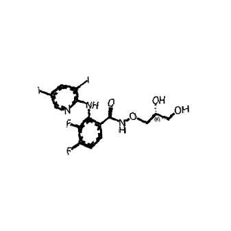 O=C(NOC[C@H](O)CO)c1ccc(F)c(F)c1Nc1ncc(I)cc1I